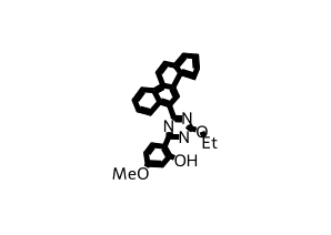 CCOc1nc(-c2ccc(OC)cc2O)nc(-c2cc3c4ccccc4ccc3c3ccccc23)n1